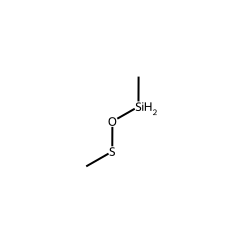 C[SiH2]OSC